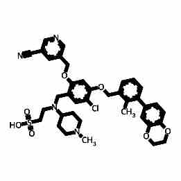 Cc1c(COc2cc(OCc3cncc(C#N)c3)c(CN(CCS(=O)(=O)O)C3CCN(C)CC3)cc2Cl)cccc1-c1ccc2c(c1)OCCO2